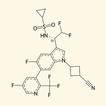 N#CC1CC(n2cc([C@H](NS(=O)(=O)C3CC3)C(F)F)c3cc(F)c(-c4cc(F)cnc4C(F)(F)F)cc32)C1